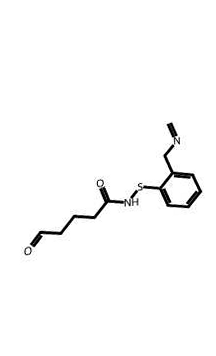 C=NCc1ccccc1SNC(=O)CCCC=O